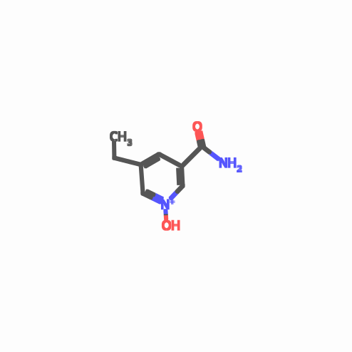 CCc1cc(C(N)=O)c[n+](O)c1